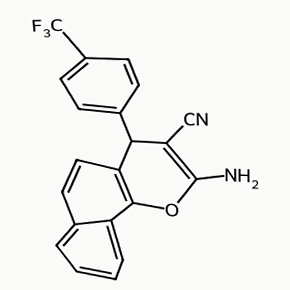 N#CC1=C(N)Oc2c(ccc3ccccc23)C1c1ccc(C(F)(F)F)cc1